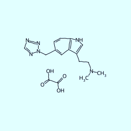 CN(C)CCc1c[nH]c2ccc(Cn3ncnn3)cc12.O=C(O)C(=O)O